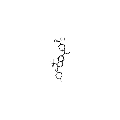 CCC(c1ccc2c(C(F)(F)F)c(OC3CCC(C)CC3)ccc2c1)N1CCC(C(=O)O)CC1